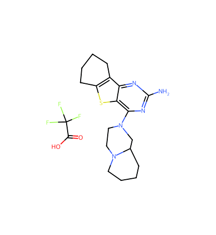 Nc1nc(N2CCN3CCCCC3C2)c2sc3c(c2n1)CCCC3.O=C(O)C(F)(F)F